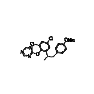 COc1ccc(CC(C)c2cc(Cl)cc(Cl)c2Oc2ncncn2)cc1